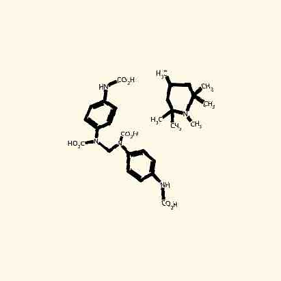 CC1CC(C)(C)N(C)C(C)(C)C1.O=C(O)Nc1ccc(N(CN(C(=O)O)c2ccc(NC(=O)O)cc2)C(=O)O)cc1